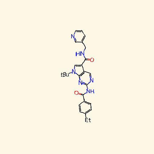 CCc1ccc(C(=O)Nc2ncc3c(C(=O)NCc4cccnc4)cn(C(C)(C)C)c3n2)cc1